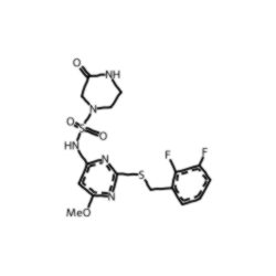 COc1cc(NS(=O)(=O)N2CCNC(=O)C2)nc(SCc2cccc(F)c2F)n1